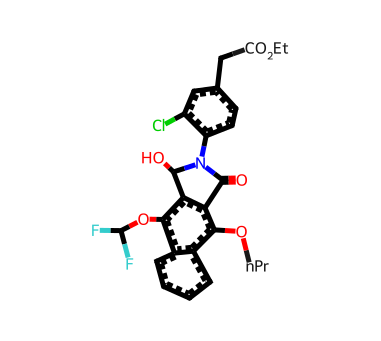 CCCOc1c2c(c(OC(F)F)c3ccccc13)C(O)N(c1ccc(CC(=O)OCC)cc1Cl)C2=O